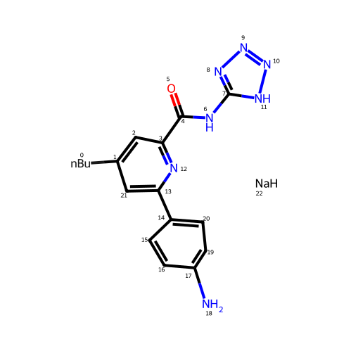 CCCCc1cc(C(=O)Nc2nnn[nH]2)nc(-c2ccc(N)cc2)c1.[NaH]